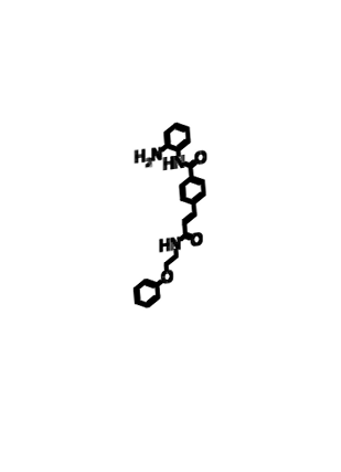 Nc1ccccc1NC(=O)c1ccc(C=CC(=O)NCCOc2ccccc2)cc1